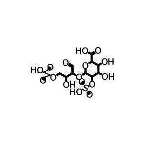 O=CC(OC1OC(C(=O)O)C(O)C(O)C1OS(=O)(=O)O)C(O)COS(=O)(=O)O